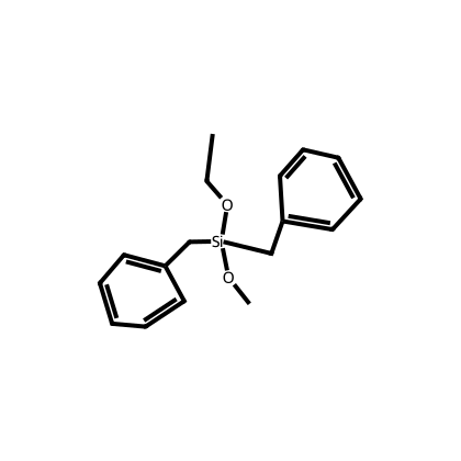 CCO[Si](Cc1ccccc1)(Cc1ccccc1)OC